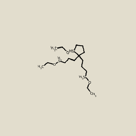 CCO[SiH2]CCCC1(CCC[SiH2]OCC)CCC[SiH]1OCC